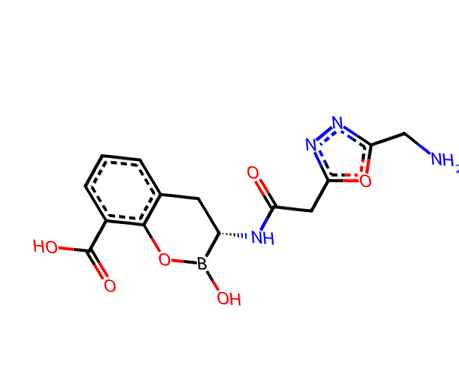 NCc1nnc(CC(=O)N[C@H]2Cc3cccc(C(=O)O)c3OB2O)o1